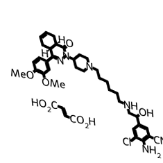 COc1ccc(C2=NN(C3CCN(CCCCCCNCC(O)c4cc(Cl)c(N)c(C#N)c4)CC3)C(=O)[C@@H]3CC=CC[C@H]23)cc1OC.O=C(O)/C=C/C(=O)O